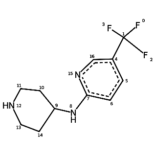 FC(F)(F)c1ccc(NC2CCNCC2)nc1